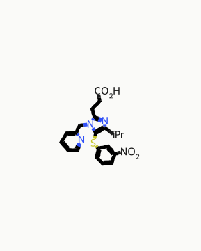 CC(C)c1nc(CCC(=O)O)n(Cc2ccccn2)c1Sc1cccc([N+](=O)[O-])c1